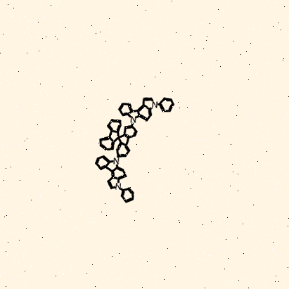 c1ccc(-n2ccc3c4c5ccccc5n(-c5ccc6c(c5)C5(c7ccccc7-c7ccccc75)c5cc(-n7c8ccccc8c8c9ccn(-c%10ccccc%10)c9ccc87)ccc5-6)c4ccc32)cc1